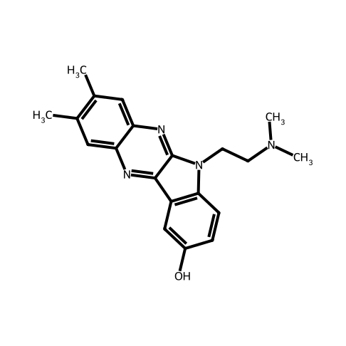 Cc1cc2nc3c4cc(O)ccc4n(CCN(C)C)c3nc2cc1C